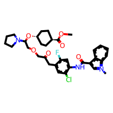 COC(=O)[C@H]1CC[C@H](OC(COCC(=O)Cc2cc(Cl)c(NC(=O)c3cn(C)c4ccccc34)cc2F)N2CCCC2)CC1